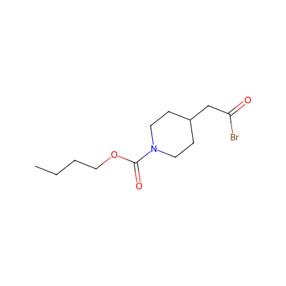 CCCCOC(=O)N1CCC(CC(=O)Br)CC1